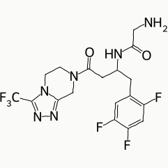 NCC(=O)NC(CC(=O)N1CCn2c(nnc2C(F)(F)F)C1)Cc1cc(F)c(F)cc1F